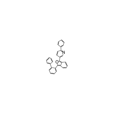 c1ccc(-c2ccc(-c3oc(-c4ccccc4-c4ccccc4)c4ccccc34)cn2)cc1